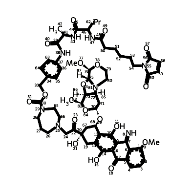 COc1cccc2c1C(=N)c1c(O)c3c(c(O)c1C2=O)C[C@@](O)(C(=O)CN1CCCN(C(=O)OCc2ccc(NC(=O)C(C)NC(=O)C(NC(=O)CCCCCN4C(=O)C=CC4=O)C(C)C)cc2)CC1)C[C@@H]3O[C@H]1C[C@H]2[C@H](O[C@@H]3[C@@H](OC)OCCN32)[C@H](C)O1